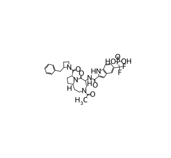 CC(=O)N1CC[C@H]2CC[C@@H](C(=O)N3CCC3Cc3ccccc3)N2C(=O)C(NC(=O)c2cc3cc(C(F)(F)P(=O)(O)O)ccc3[nH]2)C1